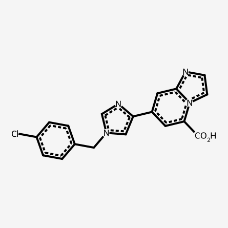 O=C(O)c1cc(-c2cn(Cc3ccc(Cl)cc3)cn2)cc2nccn12